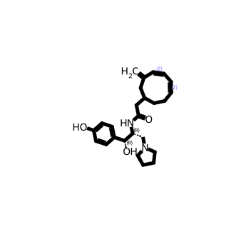 C=C1/C=C\C=C/CCC(CC(=O)N[C@H](CN2CCCC2)[C@H](O)c2ccc(O)cc2)C1